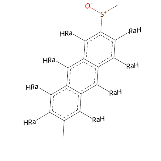 Cc1[c]([RaH])[c]([RaH])c2[c]([RaH])c3[c]([RaH])c([S+](C)[O-])[c]([RaH])[c]([RaH])c3[c]([RaH])c2[c]1[RaH]